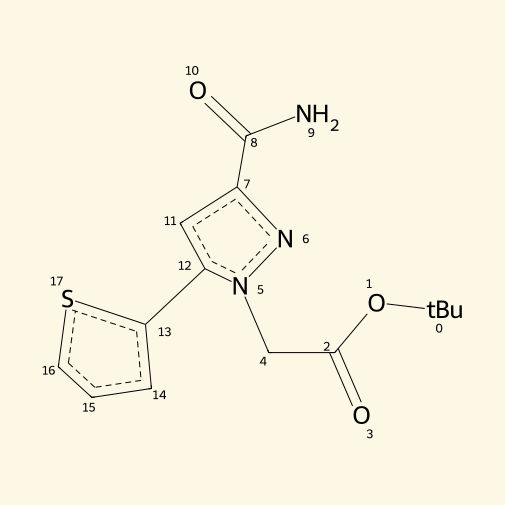 CC(C)(C)OC(=O)Cn1nc(C(N)=O)cc1-c1cccs1